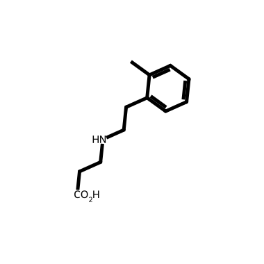 Cc1ccccc1CCNCCC(=O)O